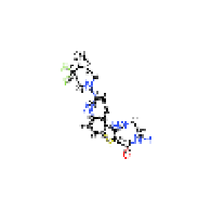 CC1CCN(c2ccc3c(ccc4sc5c(c43)NCCNC5=O)n2)CC1(F)F